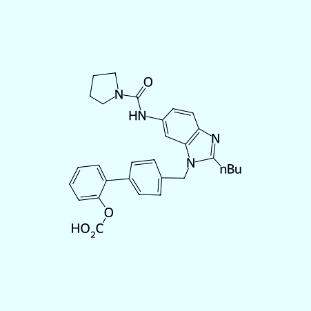 CCCCc1nc2ccc(NC(=O)N3CCCC3)cc2n1Cc1ccc(-c2ccccc2OC(=O)O)cc1